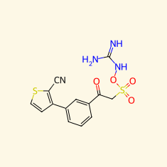 N#Cc1sccc1-c1cccc(C(=O)CS(=O)(=O)ONC(=N)N)c1